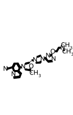 C[C@@H]1CN(c2ccc(C#N)c3ncccc23)C[C@H](CN2CCN(c3ccnc(OCCN(C)C)n3)CC2)O1